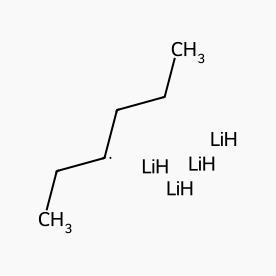 CC[CH]CCC.[LiH].[LiH].[LiH].[LiH]